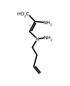 C=CCCN(N)/C=C(\N)C(=O)O